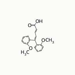 COc1ccccc1C(=CC=CC(=O)O)c1ccccc1OC